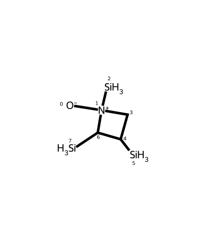 [O-][N+]1([SiH3])CC([SiH3])C1[SiH3]